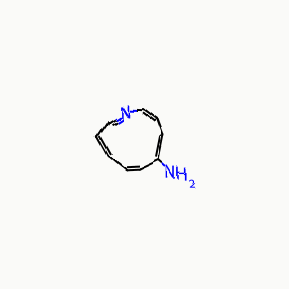 Nc1cccccnccc1